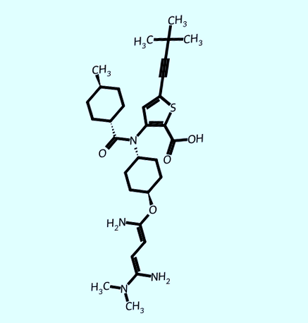 CN(C)/C(N)=C/C=C(\N)O[C@H]1CC[C@H](N(c2cc(C#CC(C)(C)C)sc2C(=O)O)C(=O)[C@H]2CC[C@H](C)CC2)CC1